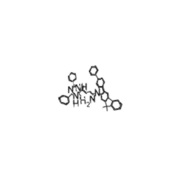 C/C(=C\C=C(/N)n1c2cc(-c3ccccc3)ccc2c2cc3c(cc21)C(C)(C)c1ccccc1-3)C1(C)NC(c2ccccc2)=NC(c2ccccc2)N1